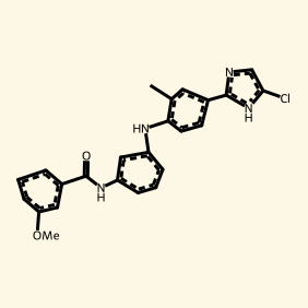 COc1cccc(C(=O)Nc2cccc(Nc3ccc(-c4ncc(Cl)[nH]4)cc3C)c2)c1